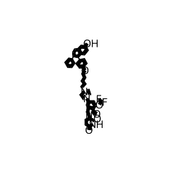 O=C1CCC(N2Cc3cc(N4CCN(CCCCCOc5ccc([C@@H]6c7ccc(O)cc7CC[C@@H]6C6C=CC=CC6)cc5)CC4)cc(OC(F)F)c3C2=O)C(=O)N1